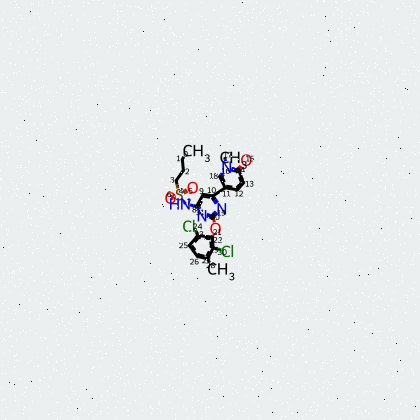 CCCCS(=O)(=O)Nc1cc(-c2ccc(=O)n(C)c2)nc(Oc2c(Cl)ccc(C)c2Cl)n1